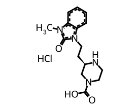 Cl.Cn1c(=O)n(CC[C@@H]2CN(C(=O)O)CCN2)c2ccccc21